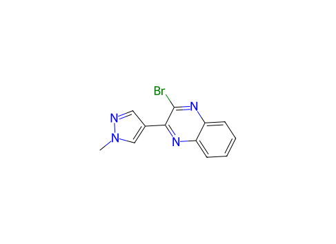 Cn1cc(-c2nc3ccccc3nc2Br)cn1